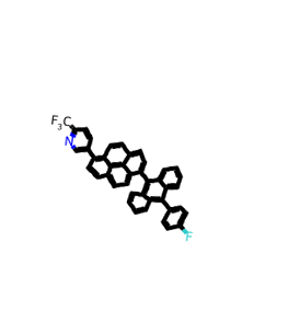 Fc1ccc(-c2c3ccccc3c(-c3ccc4ccc5c(-c6ccc(C(F)(F)F)nc6)ccc6ccc3c4c65)c3ccccc23)cc1